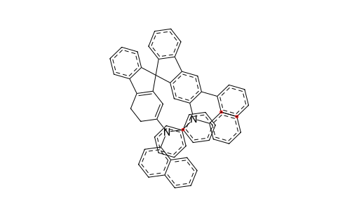 C1=C(N(c2ccccc2)c2cccc3ccccc23)CCC2=C1C1(c3ccccc32)c2ccccc2-c2cc(-c3ccccc3)c(N(c3ccccc3)c3ccccc3)cc21